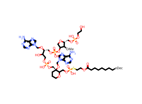 CCCCCCCCCCCCCCCCCC(=O)OCCSP(=O)(O)OCC1OCCC[C@]1(COP(=O)(O)OCC(O)[C@@H](COP(=O)(O)OC1CO[C@H](COP(=O)(O)OCCO)C1OC)OCn1cnc2c(N)ncnc21)OCn1cnc2c(N)ncnc21